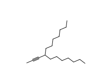 CC#CC(CCCCCCC)CCCCCCC